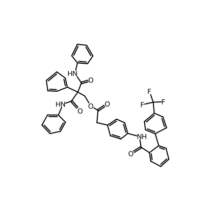 O=C(Cc1ccc(NC(=O)c2ccccc2-c2ccc(C(F)(F)F)cc2)cc1)OCC(C(=O)Nc1ccccc1)(C(=O)Nc1ccccc1)c1ccccc1